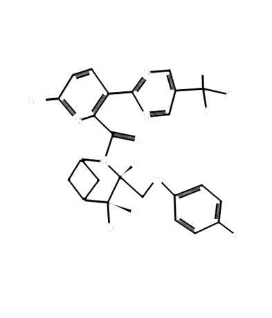 Cc1ccc(-c2ncc(C(F)(F)F)cn2)c(C(=O)N2C3CC(C3)[C@@H](C)[C@H]2COc2ccc(F)cc2)n1